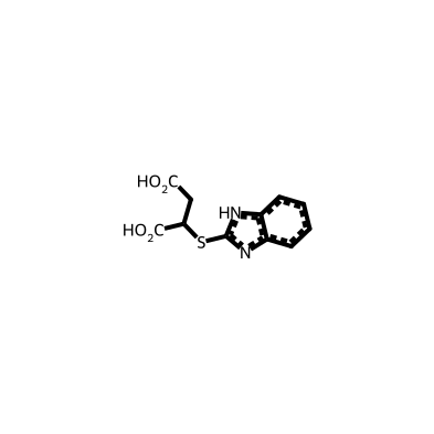 O=C(O)CC(Sc1nc2ccccc2[nH]1)C(=O)O